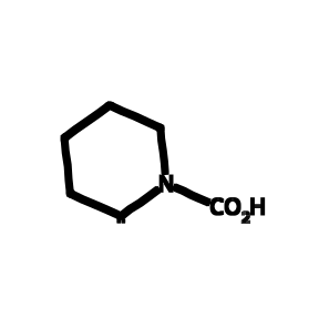 O=C(O)N1[C]CCCC1